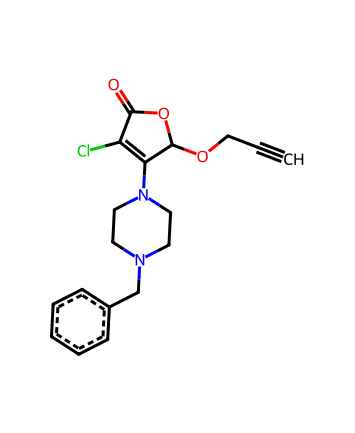 C#CCOC1OC(=O)C(Cl)=C1N1CCN(Cc2ccccc2)CC1